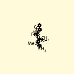 COc1cc2c(cc1-c1cnc(C)nc1)c(C(C)O)cn2CC(=O)N1C[C@H](F)C[C@H]1C(=O)Nc1cccc(-c2ccccc2Cl)c1F